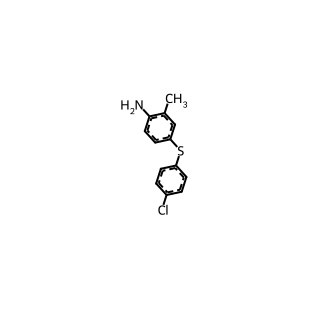 Cc1cc(Sc2ccc(Cl)cc2)ccc1N